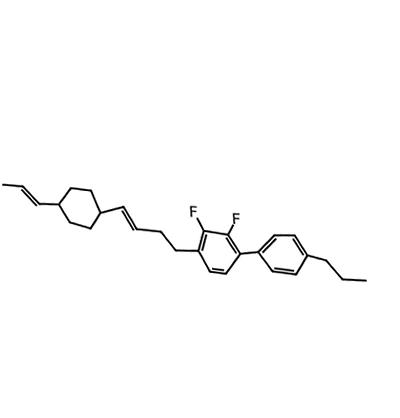 C/C=C/C1CCC(/C=C/CCc2ccc(-c3ccc(CCC)cc3)c(F)c2F)CC1